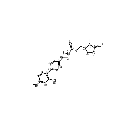 O=C1N[C@H](CCC(=O)N2CC(c3ccc(-c4ccc(Cl)cc4Cl)cn3)C2)CO1